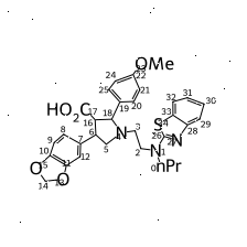 CCCN(CCN1CC(c2ccc3c(c2)OCO3)C(C(=O)O)C1c1ccc(OC)cc1)c1nc2ccccc2s1